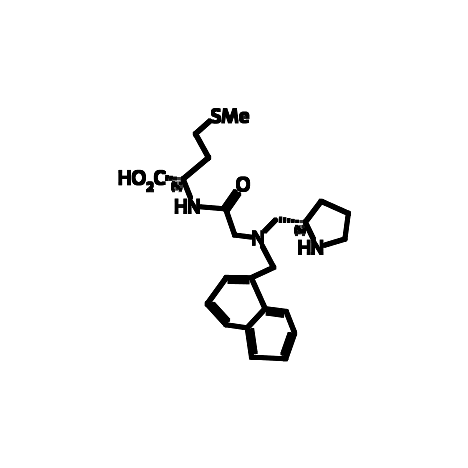 CSCC[C@H](NC(=O)CN(Cc1cccc2ccccc12)C[C@@H]1CCCN1)C(=O)O